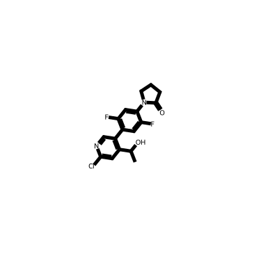 CC(O)c1cc(Cl)ncc1-c1cc(F)c(N2CCCC2=O)cc1F